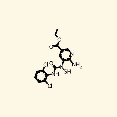 CCOC(=O)c1cnc(N)c(N(S)C(=O)Nc2c(Cl)cccc2Cl)c1